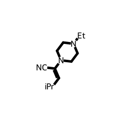 CCN1CCN(C(C#N)=CC(C)C)CC1